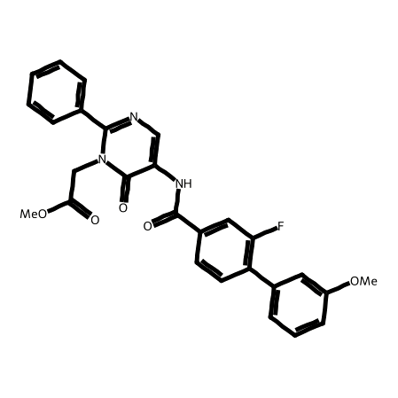 COC(=O)Cn1c(-c2ccccc2)ncc(NC(=O)c2ccc(-c3cccc(OC)c3)c(F)c2)c1=O